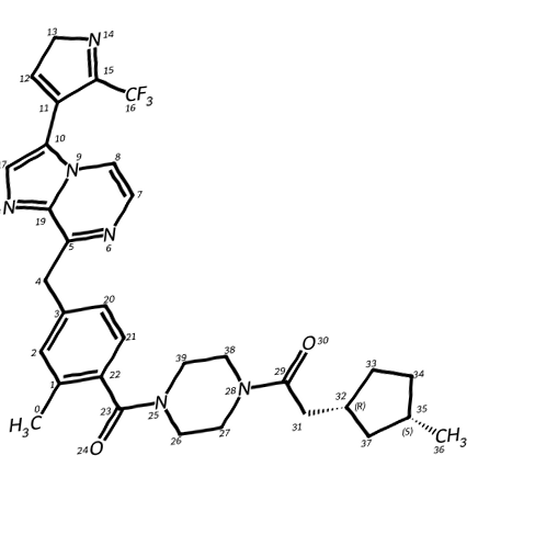 Cc1cc(Cc2nccn3c(C4=CCN=C4C(F)(F)F)cnc23)ccc1C(=O)N1CCN(C(=O)C[C@@H]2CC[C@H](C)C2)CC1